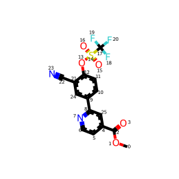 COC(=O)c1ccnc(-c2ccc(OS(=O)(=O)C(F)(F)F)c(C#N)c2)c1